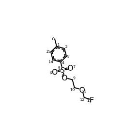 Cc1ccc(S(=O)(=O)OCCOCF)cc1